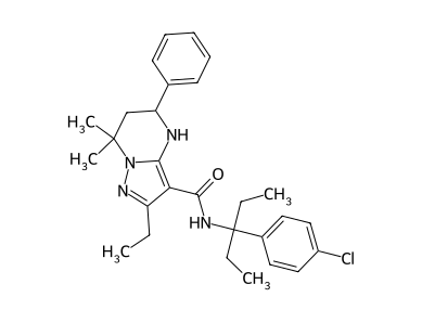 CCc1nn2c(c1C(=O)NC(CC)(CC)c1ccc(Cl)cc1)NC(c1ccccc1)CC2(C)C